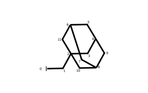 ICC12CC3CC(CC(C3)C1)C2